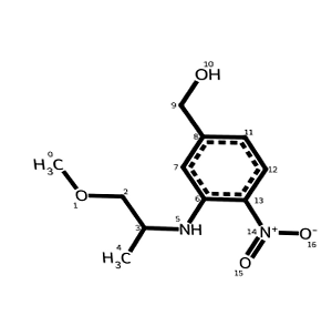 COCC(C)Nc1cc(CO)ccc1[N+](=O)[O-]